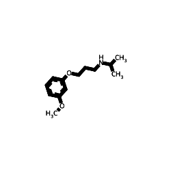 COc1cc[c]c(OCCCNC(C)C)c1